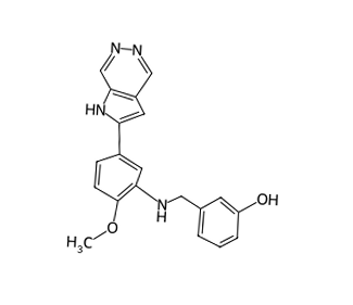 COc1ccc(-c2cc3cnncc3[nH]2)cc1NCc1cccc(O)c1